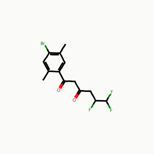 Cc1cc(C(=O)CC(=O)CC(F)C(F)F)c(C)cc1Br